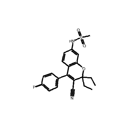 CCC1(CC)Oc2cc(NS(C)(=O)=O)ccc2C(c2ccc(F)cc2)=C1C#N